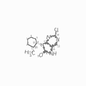 C[C@@H]1CCCC[C@@H]1n1c(=O)[nH]c2cnc(Cl)nc21